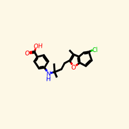 Cc1c(CCC(C)(C)Nc2ccc(C(=O)O)cc2)oc2ccc(Cl)cc12